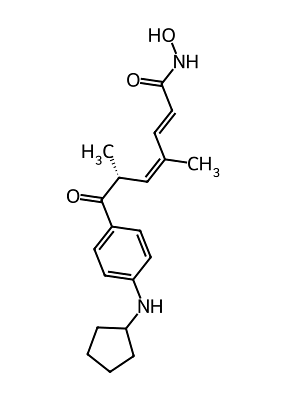 CC(C=CC(=O)NO)=C[C@@H](C)C(=O)c1ccc(NC2CCCC2)cc1